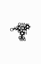 COC(=O)[C@H]1Cc2c([nH]c3ccccc23)[C@H](c2ccc(C(=O)OC(C)(C)C)cc2)N1C(=O)/C=C/CCl